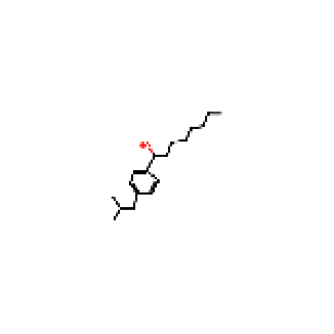 CCCCCCCC(O)c1ccc(CC(C)C)cc1